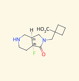 O=C(O)C1(CN2C[C@@H]3CNCC[C@]3(F)C2=O)CCC1